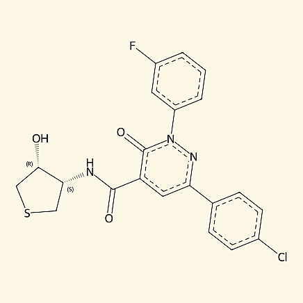 O=C(N[C@@H]1CSC[C@@H]1O)c1cc(-c2ccc(Cl)cc2)nn(-c2cccc(F)c2)c1=O